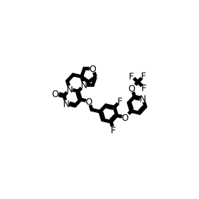 O=c1ncc(OCc2cc(F)c(Oc3ccnc(OC(F)(F)F)c3)c(F)c2)c2n1CCC13COC(CN21)C3